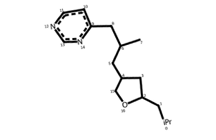 CC(C)CC1CC(CC(C)Cc2ccncn2)CO1